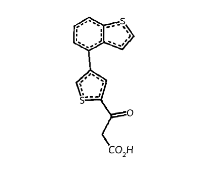 O=C(O)CC(=O)c1cc(-c2cccc3sccc23)cs1